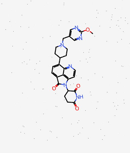 COc1ncc(CN2CCC(c3ccc4c5c(ccnc35)N(C3CCC(=O)NC3=O)C4=O)CC2)cn1